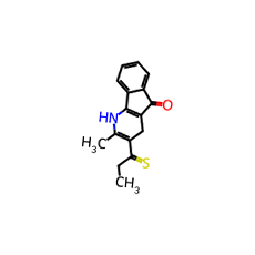 CCC(=S)C1=C(C)NC2=C(C1)C(=O)c1ccccc12